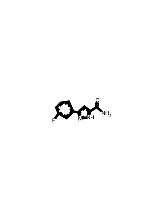 NC(=O)c1cc(-c2cccc(F)c2)n[nH]1